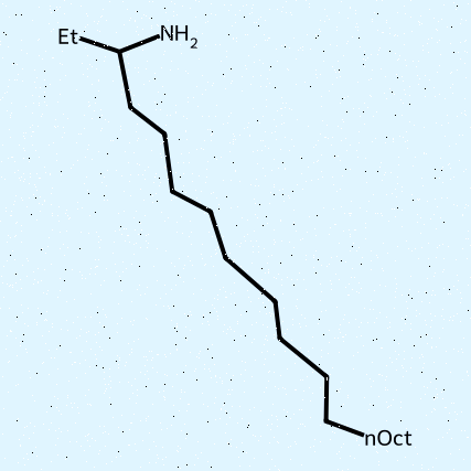 [CH2]CC(N)CCCCCCCCCCCCCCCCC